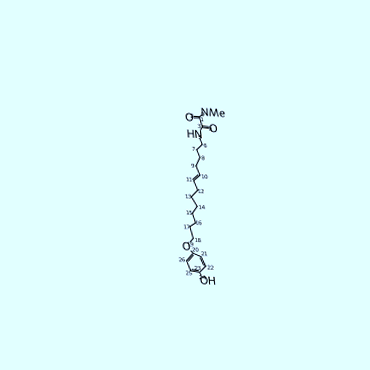 CNC(=O)C(=O)NCCCCC=CCCCCCCCOc1ccc(O)cc1